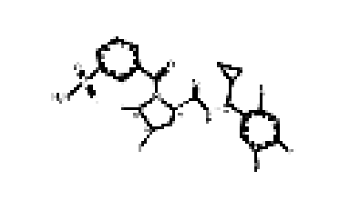 C[C@@H]1[C@H](I)C[C@H](C(=O)N[C@@H](c2cc(F)c(Cl)cc2F)C2CC2)N1C(=O)c1cccc(S(N)(=O)=O)c1